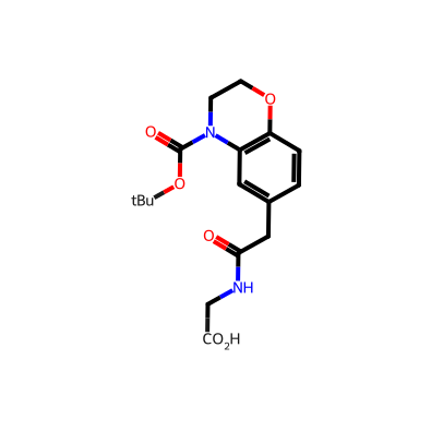 CC(C)(C)OC(=O)N1CCOc2ccc(CC(=O)NCC(=O)O)cc21